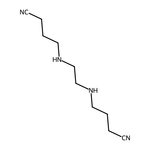 N#CCCCNCCNCCCC#N